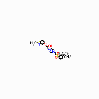 Cc1nc2cc(OC[C@H](O)CN3CCN(CCS(=O)(=O)c4[c]ccc(C(C)(C)C)c4)CC3)ccc2s1